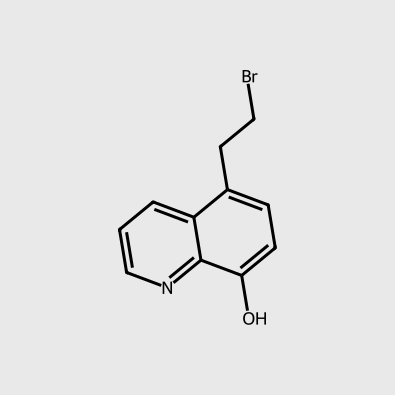 Oc1ccc(CCBr)c2cccnc12